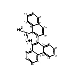 OB(O)c1c(-c2cc3ccccc3c3ccccc23)ccc2ccccc12